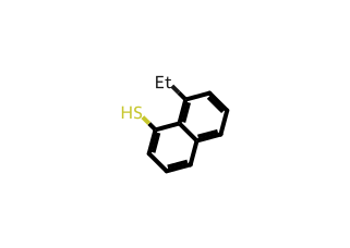 CCc1cccc2cccc(S)c12